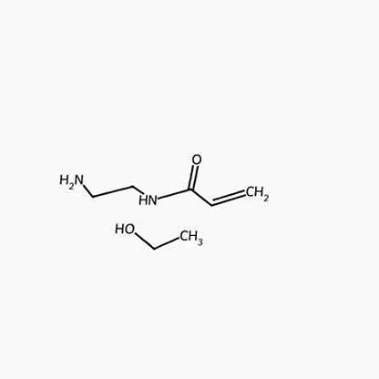 C=CC(=O)NCCN.CCO